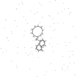 c1ccc2c([P]C3CCCCCCCCC3)cccc2c1